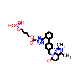 Cc1nc(C)c2c(n1)N(Cc1ccc(-c3ccccc3-c3nnn(C(=O)OCCCCON(O)O)n3)cc1)C(=O)CC2